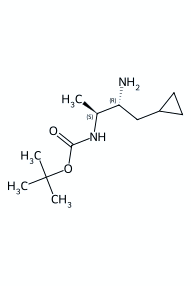 C[C@H](NC(=O)OC(C)(C)C)[C@H](N)CC1CC1